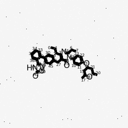 CCCc1nc(CC)n(-c2ccc(OC3CC(C)OC(C)C3)cc2)c(=O)c1Cc1ccc(-c2ccccc2-c2noc(=O)[nH]2)cc1